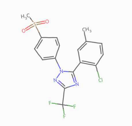 Cc1ccc(Cl)c(-c2nc(C(F)(F)F)nn2-c2ccc(S(C)(=O)=O)cc2)c1